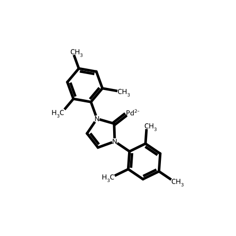 Cc1cc(C)c(-n2ccn(-c3c(C)cc(C)cc3C)[c]2=[Pd-2])c(C)c1